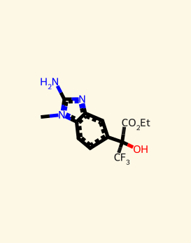 CCOC(=O)C(O)(c1ccc2c(c1)nc(N)n2C)C(F)(F)F